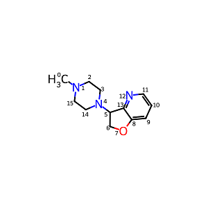 CN1CCN(C2COc3cccnc32)CC1